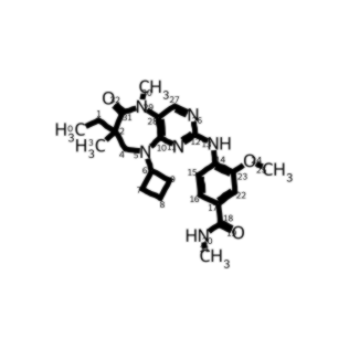 CCC1(C)CN(C2CCC2)c2nc(Nc3ccc(C(=O)NC)cc3OC)ncc2N(C)C1=O